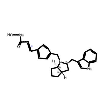 O=C(/C=C/c1ccc(CN2[C@@H](Cc3c[nH]c4ccccc34)C[C@H]3CCC[C@H]32)cc1)NO